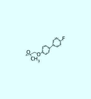 CC1(COc2ccc(-c3ccc(F)cc3)cc2)CO1